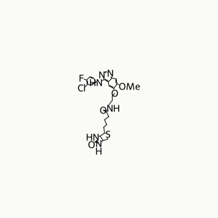 COc1cc2ncnc(Nc3ccc(F)c(Cl)c3)c2cc1OCCCNC(=O)CCCCC1SCC2NC(=O)NC21